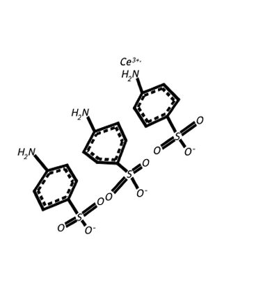 Nc1ccc(S(=O)(=O)[O-])cc1.Nc1ccc(S(=O)(=O)[O-])cc1.Nc1ccc(S(=O)(=O)[O-])cc1.[Ce+3]